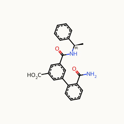 C[C@@H](NC(=O)c1cc(C(=O)O)cc(-c2ccccc2C(N)=O)c1)c1ccccc1